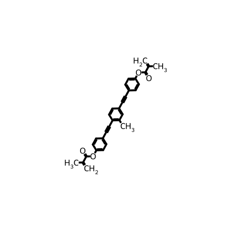 C=C(C)C(=O)Oc1ccc(C#Cc2ccc(C#Cc3ccc(OC(=O)C(=C)C)cc3)c(C)c2)cc1